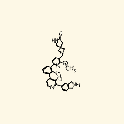 COc1nc(-c2cccc(-c3ccnc(-c4ccc5c(c4)CNC5)c3Cl)c2Cl)ccc1CN1CC2(CNC(=O)C2)C1